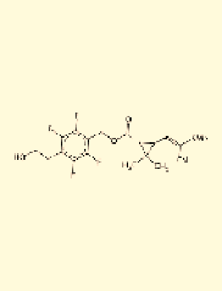 CS/C(C#N)=C/[C@@H]1[C@@H](C(=O)OCc2c(F)c(F)c(CCO)c(F)c2F)C1(C)C